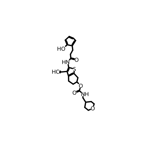 C#Cc1c(NC(=O)CCc2ccccc2O)sc2c1CCC(OC(=O)NCC1CCOCC1)C2